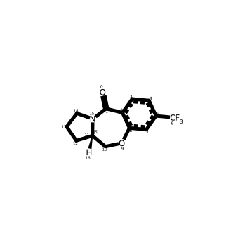 O=C1c2ccc(C(F)(F)F)cc2OC[C@@H]2CCCN12